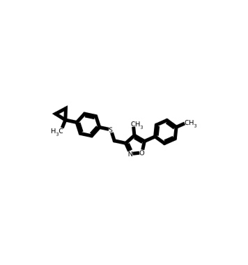 Cc1ccc(-c2onc(CSc3ccc(C4(C)CC4)cc3)c2C)cc1